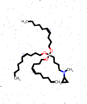 CCCCC/C=C\CCCO[Si](CCCCN(C)C1CC1)(OCCC/C=C\CCCCC)OCCC/C=C\CCCCC